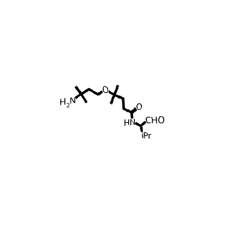 CC(C)C(C=O)NC(=O)CCC(C)(C)OCCC(C)(C)N